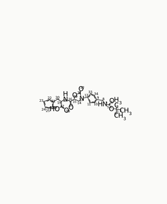 CC(C)(C)OC(=O)NCc1ccc(N2CC(C(=O)N[C@H](Cc3ccccc3)C(=O)O)OC2=O)cc1